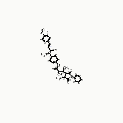 COc1ccc(/C=C/C(=O)N(N)c2ccc(OC(=O)C(C)C(C)C3C(=O)N(c4ccccc4)C(=O)C3C)cc2)cc1